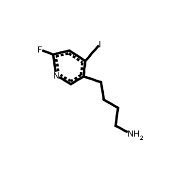 NCCCCc1cnc(F)cc1I